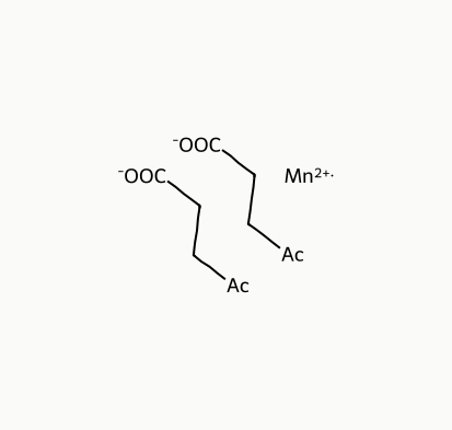 CC(=O)CCC(=O)[O-].CC(=O)CCC(=O)[O-].[Mn+2]